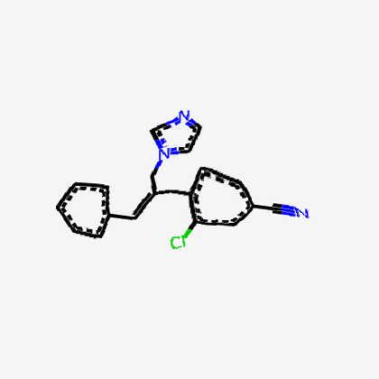 N#Cc1ccc(/C(=C/c2ccccc2)Cn2ccnc2)c(Cl)c1